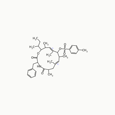 CCC(C)C1OC(=O)C(Cc2ccccc2)NC(=O)C(C)C/C(C)=C/C(C)C(OS(=O)(=O)c2ccc(C)cc2)/C(C)=C/C1C